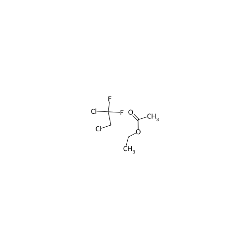 CCOC(C)=O.FC(F)(Cl)CCl